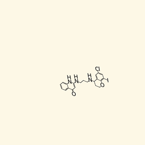 O=c1cc(NCCCNC2CCOc3c(I)cc(Cl)cc32)[nH]c2ccccc12